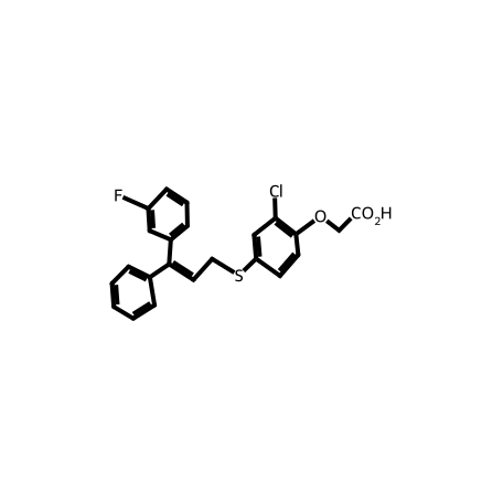 O=C(O)COc1ccc(SCC=C(c2ccccc2)c2cccc(F)c2)cc1Cl